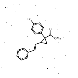 COC(=O)C1(c2ccc(Br)cc2)CC1C=Cc1ccccc1